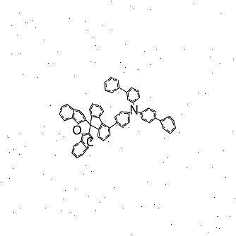 c1ccc(-c2ccc(N(c3ccc(-c4cccc5c4-c4ccccc4C54c5ccc6ccccc6c5Oc5c4ccc4ccccc54)cc3)c3cccc(-c4ccccc4)c3)cc2)cc1